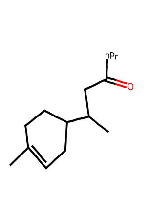 CCCC(=O)CC(C)C1CC=C(C)CC1